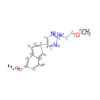 COCCNc1ncc(-c2ccc3cc(OC)ccc3c2)cn1